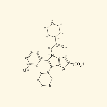 O=C(O)c1cc2c(s1)c(C1CCCCC1)c(-c1cccc(Cl)c1)n2CC(=O)N1CCOCC1